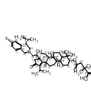 CC(C)C1=C2[C@H]3CC[C@H]4[C@@H](CC[C@H]5C(C)(C)[C@@H](OC(=O)CC(C)(C)C(=O)O)CC[C@]45C)[C@]3(C)CC[C@@]2([C@@H](O)CN(CCN(C)C)Cc2ccc(F)cc2)CC1=O